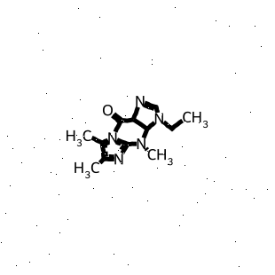 CCN1C=NC2C(=O)n3c(nc(C)c3C)N(C)C21